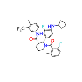 Cc1ccc(NC(=O)[C@H]2CCCN(C(=O)c3c(C)cccc3F)[C@H]2c2ccc(NC3CCCC3)c(F)c2)cc1C(F)(F)F